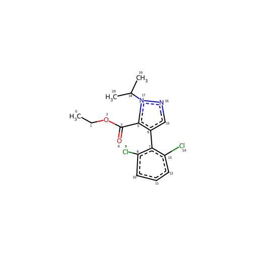 CCOC(=O)c1c(-c2c(Cl)cccc2Cl)cnn1C(C)C